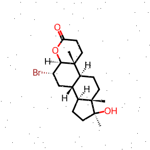 C[C@]12CCC(=O)O[C@@H]1[C@@H](Br)C[C@@H]1[C@@H]2CC[C@@]2(C)[C@H]1CC[C@]2(C)O